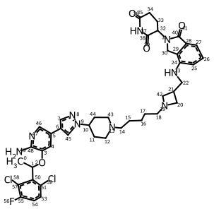 CC(Oc1cc(-c2cnn(C3CCN(CCCCCN4CC(CNc5cccc6c5CN(C5CCC(=O)NC5=O)C6=O)C4)CC3)c2)cnc1N)c1c(Cl)ccc(F)c1Cl